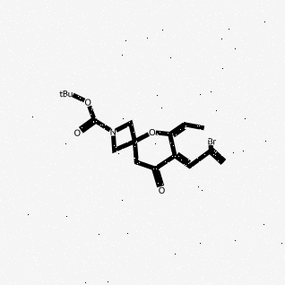 C=C(Br)/C=C1/C(=O)CC2(CN(C(=O)OC(C)(C)C)C2)O/C1=C/C